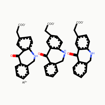 O=C([O-])Cc1ccc2c(c1)C(=O)c1ccccc1CN2.O=C([O-])Cc1ccc2c(c1)C(=O)c1ccccc1CN2.O=C([O-])Cc1ccc2c(c1)C(=O)c1ccccc1CN2.[Al+3]